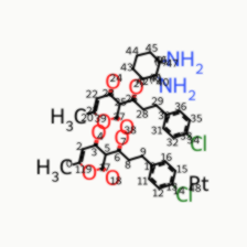 CC1=CC(=O)C(C(=O)CCc2ccc(Cl)cc2)C(=O)O1.CC1=CC(=O)C(C(=O)CCc2ccc(Cl)cc2)C(=O)O1.N[C@@H]1CCCC[C@H]1N.[Pt]